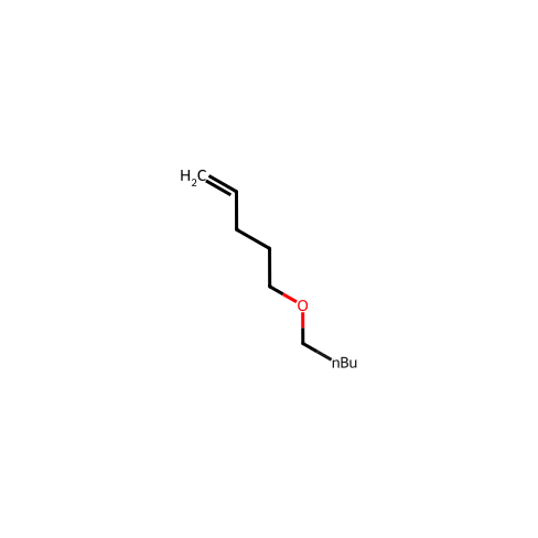 C=CCCCOCCCCC